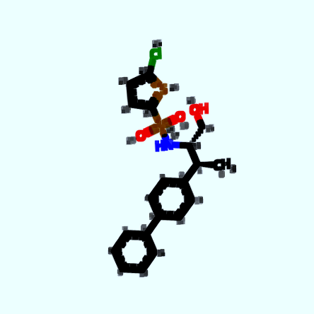 C[C@@H](c1ccc(-c2ccccc2)cc1)[C@@H](CO)NS(=O)(=O)c1ccc(Cl)s1